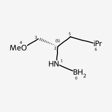 BN[C@H](COC)CC(C)C